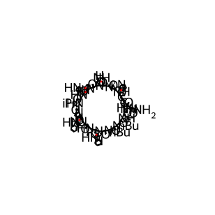 C=CC[C@@H]1NC(=O)[C@H](Cc2c[nH]c3ccccc23)NC(=O)[C@@H]2CCCN2C(=O)[C@H](CC(C)C)NC(=O)[C@H](Cc2c[nH]cn2)NC(=O)[C@@H]2CCCN2C(=O)[C@H](CC(N)=O)NC(=O)[C@H](C)N(C)C(=O)[C@H](Cc2ccccn2)NC(=O)CSC[C@@H](C(=O)NCC(N)=O)NC(=O)[C@H](CC=C)NC(=O)[C@H](CCCC)N(C)C(=O)[C@H](CCCC)N(C)C(=O)[C@H](Cc2c[nH]c3ccccc23)NC1=O